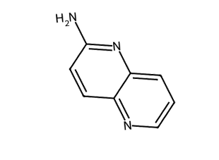 Nc1ccc2ncccc2n1